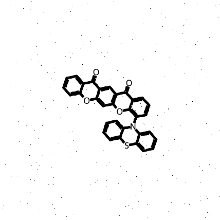 O=c1c2ccccc2oc2cc3oc4c(N5c6ccccc6Sc6ccccc65)cccc4c(=O)c3cc12